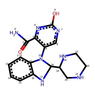 NC(=O)c1nc(O)ncc1N1c2ccccc2NC1C1CNCCN1